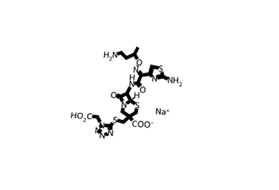 CC(CCN)ON=C(C(=O)NC1C(=O)N2CC(CSc3nnnn3CC(=O)O)(C(=O)[O-])CS[C@H]12)c1csc(N)n1.[Na+]